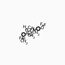 C/C(=N/N(C)c1ccc(OC(F)F)cc1)C(C=O)C(=O)N(C)c1cccc(C(C)(F)F)c1